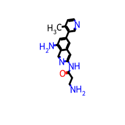 Cc1ccncc1-c1cc(N)c2cnc(NC(=O)CCN)cc2c1